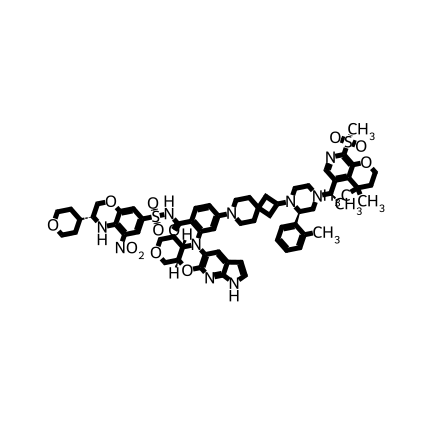 Cc1ccccc1[C@@H]1CN([C@@H](C)c2cnc(S(C)(=O)=O)c3c2C(C)(C)CCO3)CCN1C1CC2(CCN(c3ccc(C(=O)NS(=O)(=O)c4cc5c(c([N+](=O)[O-])c4)N[C@H](C4CCOCC4)CO5)c(N4c5cc6cc[nH]c6nc5O[C@H]5COCC[C@@H]54)c3)CC2)C1